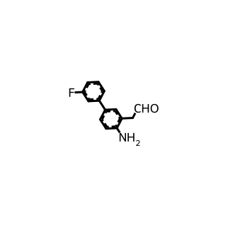 Nc1ccc(-c2cccc(F)c2)cc1CC=O